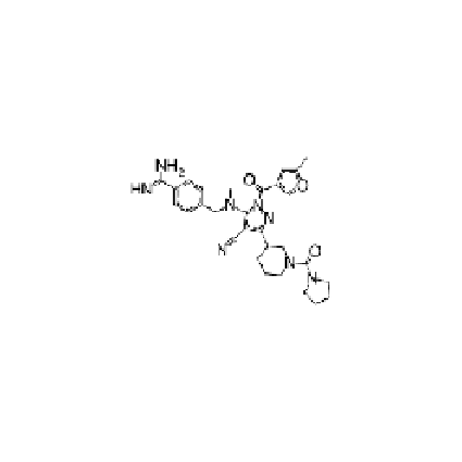 Cc1cc(C(=O)n2nc(C3CCCN(C(=O)N4CCCC4)C3)c(C#N)c2N(C)Cc2ccc(C(=N)N)cc2)co1